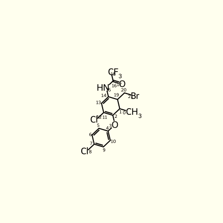 CC1C(Oc2ccc(Cl)cc2)=C(Cl)C=C(NC(=O)C(F)(F)F)C1CBr